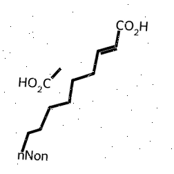 CC(=O)O.CCCCCCCCCCCCCCCC=CC(=O)O